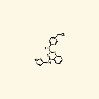 N#CCc1ccc(Nc2nc(Nc3cc[nH]n3)c3ccccc3n2)cc1